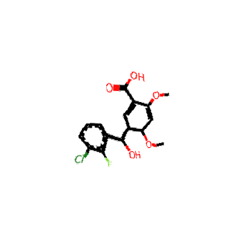 COC1=CC(OC)C(C(O)c2cccc(Cl)c2F)C=C1C(=O)O